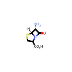 N[C@@H]1C(=O)N2C(C(=O)O)CS[C@@H]12